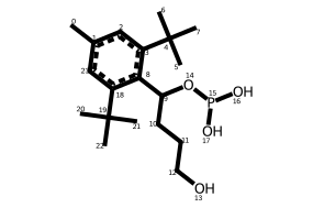 Cc1cc(C(C)(C)C)c(C(CCCO)OP(O)O)c(C(C)(C)C)c1